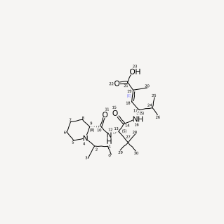 CCC(C)N1CCCC[C@@H]1C(=O)N[C@H](C(=O)N[C@H](/C=C(\C)C(=O)O)C(C)C)C(C)(C)C